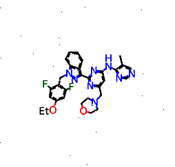 CCOc1cc(F)c(Cn2nc(-c3nc(CN4CCOCC4)cc(Nc4ncncc4C)n3)c3ccccc32)c(F)c1